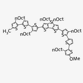 CCCCCCCCc1cc(C)sc1-c1ccc(-c2sc(-c3cc4c(s3)-c3sc(-c5cc(CCCCCCCC)c(-c6ccc(-c7sc(OC)cc7CCCCCCCC)s6)s5)cc3[Si]4(CCCCCCCC)CCCCCCCC)cc2CCCCCCCC)s1